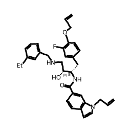 C=CCOc1ccc(C[C@H](NC(=O)c2ccc3ccn(CC=C)c3c2)[C@H](O)CNCc2cccc(CC)c2)cc1F